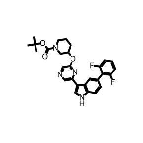 CC(C)(C)OC(=O)N1CCCC(Oc2cncc(-c3c[nH]c4ccc(-c5c(F)cccc5F)cc34)n2)C1